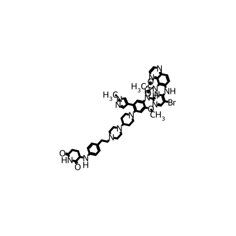 COc1cc(N2CCC(N3CCN(CCc4ccc(NC5CCC(=O)NC5=O)cc4)CC3)CC2)c(-c2cnn(C)c2)cc1Nc1ncc(Br)c(Nc2ccc3nccnc3c2NS(C)(=O)=O)n1